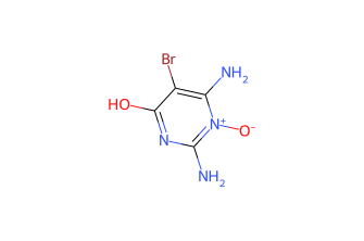 Nc1nc(O)c(Br)c(N)[n+]1[O-]